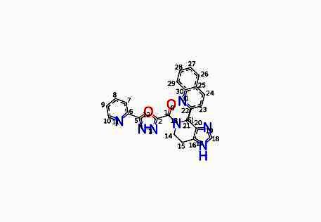 O=C(c1nnc(-c2ccccn2)o1)N1CCc2[nH]cnc2[C@@H]1c1ccc2ccccc2n1